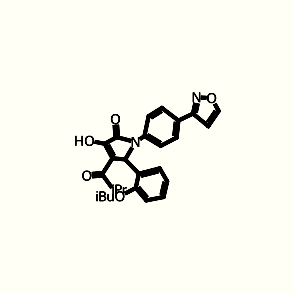 CC(C)COc1ccccc1C1C(C(=O)C(C)C)=C(O)C(=O)N1c1ccc(-c2ccon2)cc1